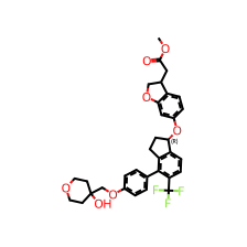 COC(=O)CC1COc2cc(O[C@@H]3CCc4c3ccc(C(F)(F)F)c4-c3ccc(OCC4(O)CCOCC4)cc3)ccc21